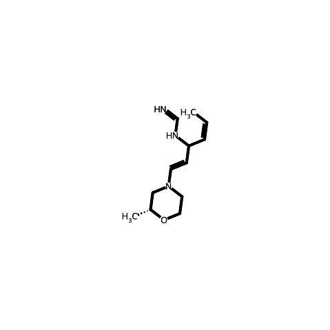 C/C=C\C(/C=C/N1CCO[C@H](C)C1)NC=N